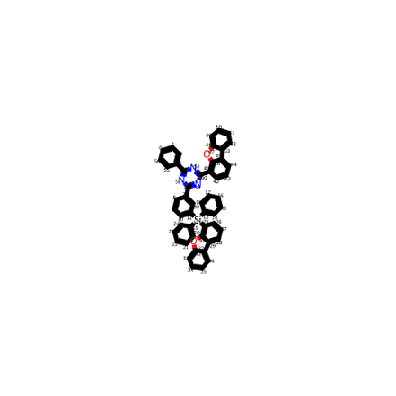 c1ccc(-c2nc(-c3cccc([Si](c4ccccc4)(c4ccccc4)c4cccc5c4oc4ccccc45)c3)nc(-c3cccc4c3oc3ccccc34)n2)cc1